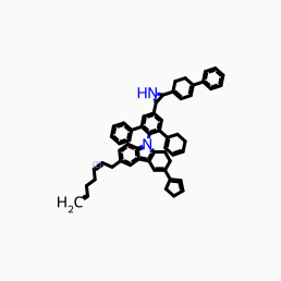 C=CCC/C=C\Cc1ccc2c(c1)c1c(n2-c2c(C3=CC=CCC3)cc(C3NC3C3=CC=C(c4ccccc4)CC3)cc2-c2ccccc2)CCC(C2=C=CCC2)=C1